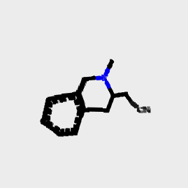 CN1Cc2ccccc2CC1CC#N